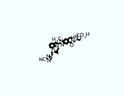 Cn1c(-c2cc3cccc(OCCn4cnc(C#N)n4)c3n2CC2CC2)nc2cc3c(cc21)CCN(C[C@@H](CF)NC(=O)O)C3=O